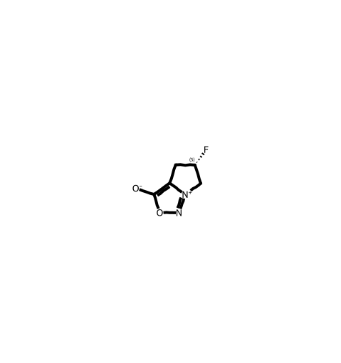 [O-]c1on[n+]2c1C[C@H](F)C2